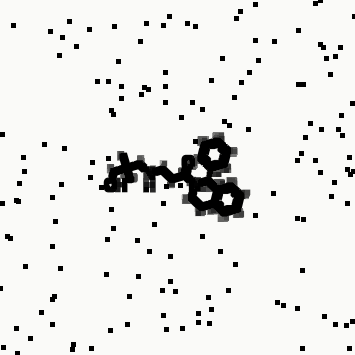 CC(C)(CO)CNCCC(=O)N1CCc2ccccc2[C@H]1c1ccccc1